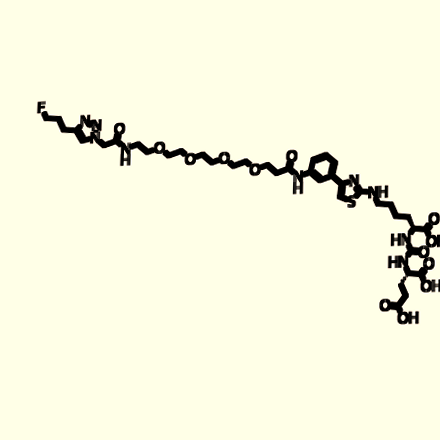 O=C(O)CC[C@H](NC(=O)N[C@@H](CCCCNc1nc(-c2cccc(NC(=O)CCOCCOCCOCCOCCNC(=O)Cn3cc(CCCF)nn3)c2)cs1)C(=O)O)C(=O)O